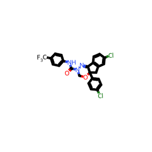 O=C(Nc1ccc(C(F)(F)F)cc1)N1COC2(c3ccc(Cl)cc3)Cc3cc(Cl)ccc3C2=N1